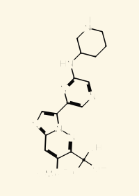 COc1cc2ncc(-c3cncc(NC4CCCNC4)n3)n2nc1C(C)(O)C(F)(F)F